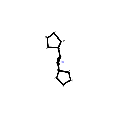 C(=C\C1CCCC1)/C1CCCC1